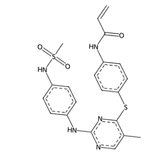 C=CC(=O)Nc1ccc(Sc2nc(Nc3ccc(NS(C)(=O)=O)cc3)ncc2C)cc1